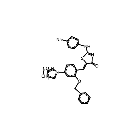 CC(=O)O.O=C1N=C(Nc2cc[c]([Na])cc2)SC1=Cc1ccc(-n2cccc2)cc1OCc1ccccc1